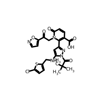 CC(C)(C)C(=O)n1nc(-c2c(C(=O)O)ccc(=O)n2CC(=O)c2ccno2)cc1NCc1ccc(Cl)s1